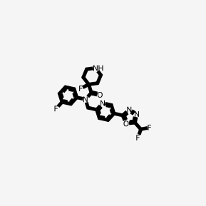 O=C(N(Cc1ccc(-c2nnc(C(F)F)o2)cn1)c1cccc(F)c1)C1(F)CCNCC1